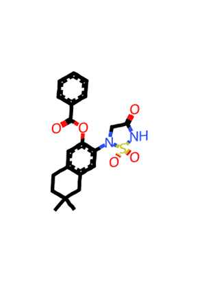 CC1(C)CCc2cc(OC(=O)c3ccccc3)c(N3CC(=O)NS3(=O)=O)cc2C1